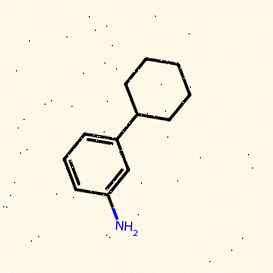 Nc1cccc(C2CCCCC2)c1